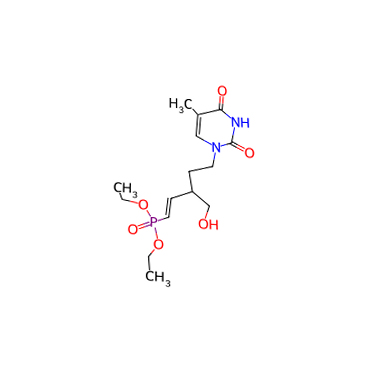 CCOP(=O)(/C=C/C(CO)CCn1cc(C)c(=O)[nH]c1=O)OCC